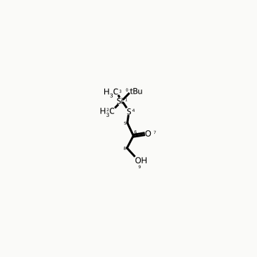 CC(C)(C)[Si](C)(C)SCC(=O)CO